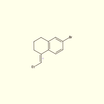 CC/C=C1\CCCc2cc(Br)ccc21